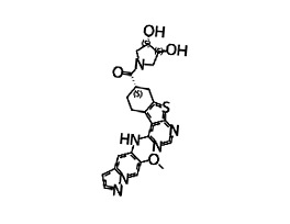 COc1cn2nccc2cc1Nc1ncnc2sc3c(c12)CC[C@H](C(=O)N1C[C@H](O)[C@@H](O)C1)C3